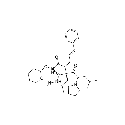 CC(C)CC(C(=O)[C@](CC(C)C)(C(=O)NN)[C@H](C/C=C/c1ccccc1)C(=O)NOC1CCCCO1)N1CCCC1